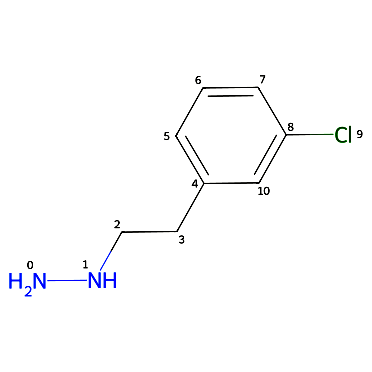 NNCCc1cccc(Cl)c1